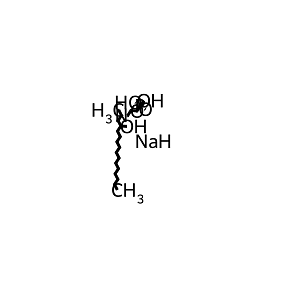 CCCCCCCCCCCCC(O)CN(C)CCOP(=O)(O)O.[NaH]